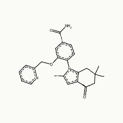 Cc1cc2c(n1-c1ccc(C(N)=O)cc1OCc1ccccn1)CC(C)(C)CC2=O